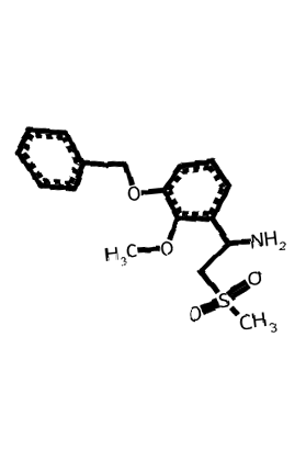 COc1c(OCc2ccccc2)cccc1C(N)CS(C)(=O)=O